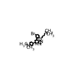 CN(C)CCCCNc1ncnc2nc(-c3ccc(N(C)C)cc3)cc(-c3cccc(Br)c3)c12